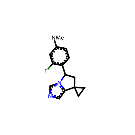 CNc1ccc(C2CC3(CC3)c3cncn32)c(F)c1